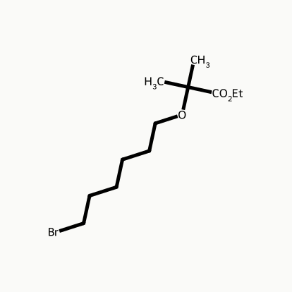 CCOC(=O)C(C)(C)OCCCCCCBr